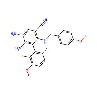 COc1ccc(CNc2c(C#N)cc(N)c(N)c2-c2c(C)ccc(OC)c2C)cc1